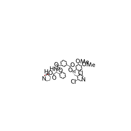 COc1ccc([C@H](Cc2c(Cl)cncc2Cl)OC(=O)c2cccc(S(=O)(=O)NC(C(=O)O[C@H]3CN4CCC3CC4)c3ccccc3)c2)cc1OC